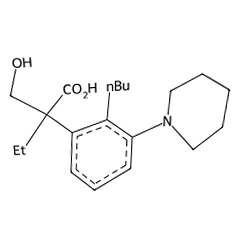 CCCCc1c(N2CCCCC2)cccc1C(CC)(CO)C(=O)O